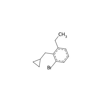 CCc1cccc(Br)c1CC1CC1